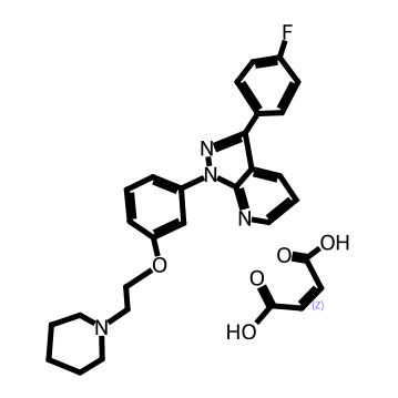 Fc1ccc(-c2nn(-c3cccc(OCCN4CCCCC4)c3)c3ncccc23)cc1.O=C(O)/C=C\C(=O)O